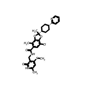 CSc1cc(C)[nH]c(=O)c1CNC(=O)c1cc(Cl)c2c(c1C)OC(C)([C@H]1CC[C@@H](c3ccccn3)CC1)O2